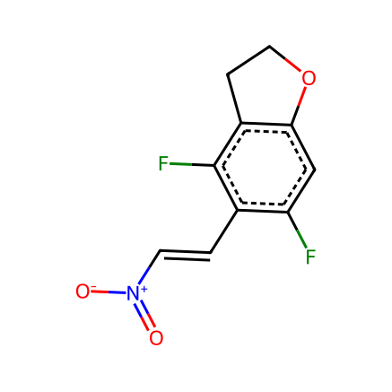 O=[N+]([O-])C=Cc1c(F)cc2c(c1F)CCO2